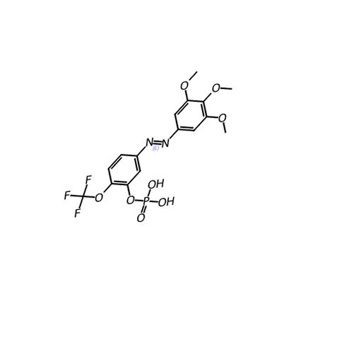 COc1cc(/N=N/c2ccc(OC(F)(F)F)c(OP(=O)(O)O)c2)cc(OC)c1OC